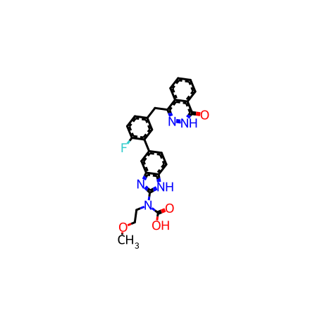 COCCN(C(=O)O)c1nc2cc(-c3cc(Cc4n[nH]c(=O)c5ccccc45)ccc3F)ccc2[nH]1